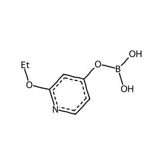 CCOc1cc(OB(O)O)ccn1